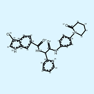 O=C(NC(C(=O)Nc1ccc(N2CCCCC2=O)cc1)c1ccccn1)c1ccc2c(Cl)c[nH]c2c1